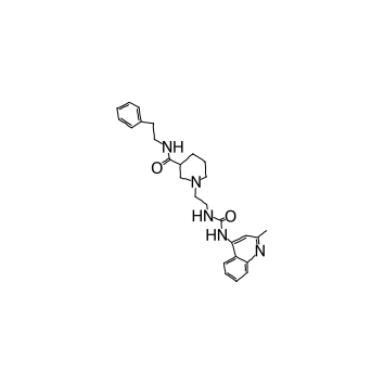 Cc1cc(NC(=O)NCCN2CCCC(C(=O)NCCc3ccccc3)C2)c2ccccc2n1